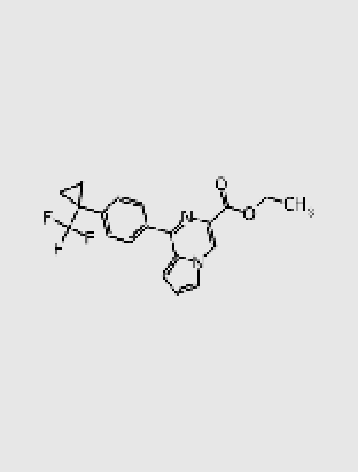 CCOC(=O)c1cn2cccc2c(-c2ccc(C3(C(F)(F)F)CC3)cc2)n1